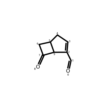 O=CC1=CCC2CC(=O)C12